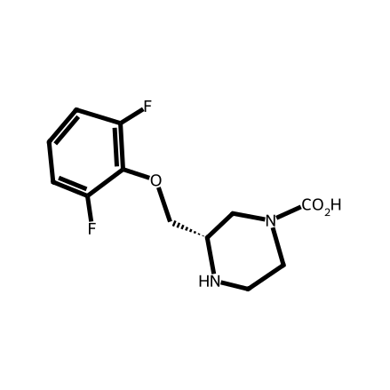 O=C(O)N1CCN[C@H](COc2c(F)cccc2F)C1